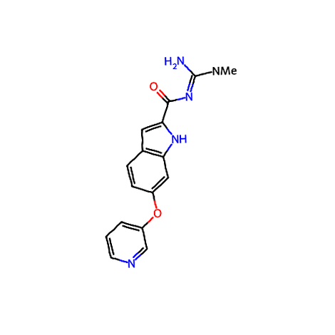 CNC(N)=NC(=O)c1cc2ccc(Oc3cccnc3)cc2[nH]1